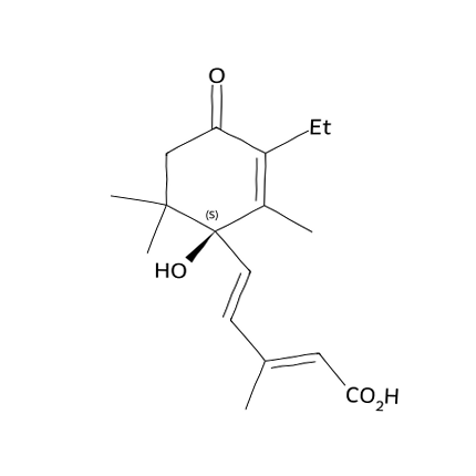 CCC1=C(C)[C@](O)(C=CC(C)=CC(=O)O)C(C)(C)CC1=O